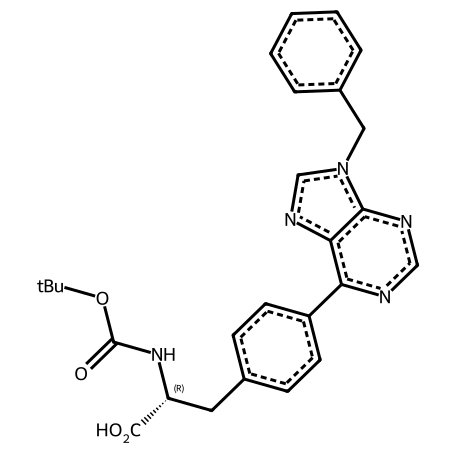 CC(C)(C)OC(=O)N[C@H](Cc1ccc(-c2ncnc3c2ncn3Cc2ccccc2)cc1)C(=O)O